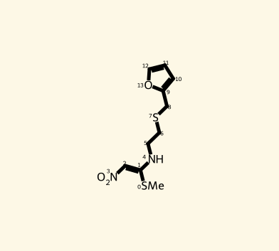 CSC(=C[N+](=O)[O-])NCCSCc1ccco1